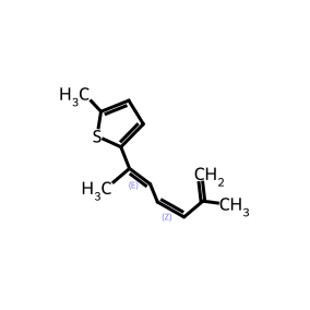 C=C(C)/C=C\C=C(/C)c1ccc(C)s1